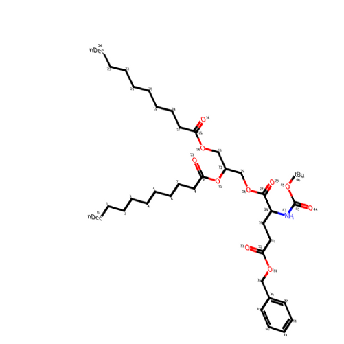 CCCCCCCCCCCCCCCCCCC(=O)OC(COC(=O)CCCCCCCCCCCCCCCCC)COC(=O)C(CCC(=O)OCc1ccccc1)NC(=O)OC(C)(C)C